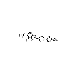 Cc1ccc(OCC2CCC([C@@H]3CCC(C)OC3)CC2)c(Cl)c1F